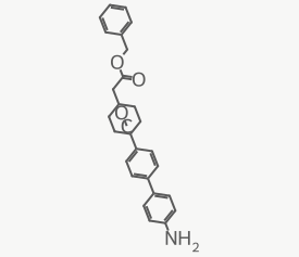 Nc1ccc(-c2ccc(C34CCC(CC(=O)OCc5ccccc5)(CC3)OC4)cc2)cc1